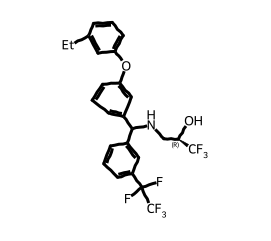 CCc1cccc(Oc2cccc(C(NC[C@@H](O)C(F)(F)F)c3cccc(C(F)(F)C(F)(F)F)c3)c2)c1